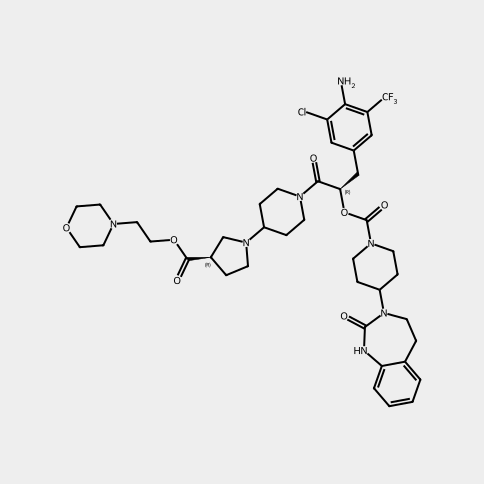 Nc1c(Cl)cc(C[C@@H](OC(=O)N2CCC(N3CCc4ccccc4NC3=O)CC2)C(=O)N2CCC(N3CC[C@@H](C(=O)OCCN4CCOCC4)C3)CC2)cc1C(F)(F)F